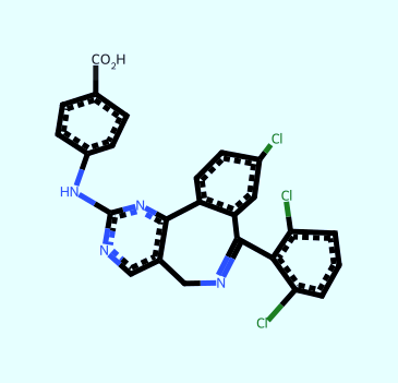 O=C(O)c1ccc(Nc2ncc3c(n2)-c2ccc(Cl)cc2C(c2c(Cl)cccc2Cl)=NC3)cc1